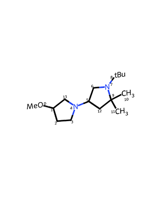 COC1CCN(C2CN(C(C)(C)C)C(C)(C)C2)C1